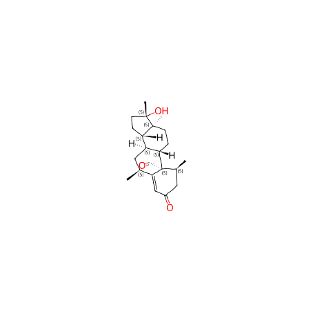 C[C@H]1C[C@@H]2[C@H](CC[C@@]3(C)[C@H]2CC[C@]3(C)O)[C@]2(C=O)C1=CC(=O)C[C@@H]2C